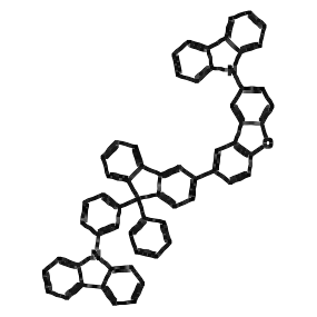 c1ccc(C2(c3cccc(-n4c5ccccc5c5ccccc54)c3)c3ccccc3-c3cc(-c4ccc5oc6ccc(-n7c8ccccc8c8ccccc87)cc6c5c4)ccc32)cc1